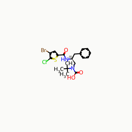 CC(C)(C)N(C[C@H](Cc1ccccc1)NC(=O)c1cc(Br)c(Cl)s1)C(=O)O